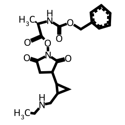 CCNCC1CC1C1CC(=O)N(OC(=O)[C@H](C)NC(=O)OCc2ccccc2)C1=O